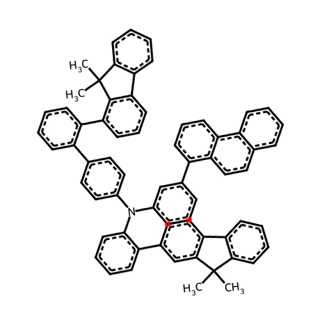 CC1(C)c2ccccc2-c2ccc(-c3ccccc3N(c3ccc(-c4ccccc4-c4cccc5c4C(C)(C)c4ccccc4-5)cc3)c3cccc(-c4cccc5c4ccc4ccccc45)c3)cc21